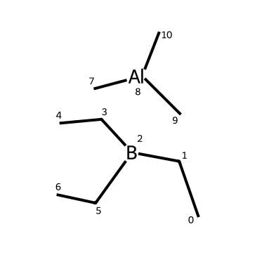 CCB(CC)CC.[CH3][Al]([CH3])[CH3]